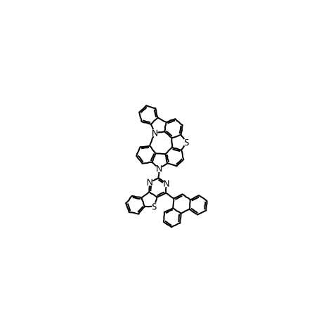 c1ccc2c(c1)cc(-c1nc(-n3c4ccc5sc6ccc7c8ccccc8n8c9cccc3c9c4c5c6c78)nc3c1sc1ccccc13)c1ccccc12